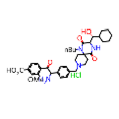 CCCCN1C(=O)[C@@H]([C@H](O)C2CCCCC2)NC(=O)C12CCN(Cc1ccc(C(N)C(=O)c3ccc(C(=O)O)cc3OC)cc1)CC2.Cl